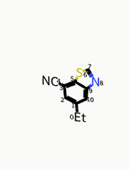 CCc1cc(C#N)c2scnc2c1